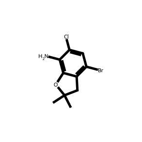 CC1(C)Cc2c(Br)cc(Cl)c(N)c2O1